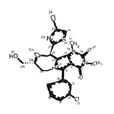 Cn1c(=O)c2c(-c3cccc(Cl)c3)n3c(c2n(C)c1=O)[C@H](c1nc(Cl)cs1)O[C@@H](CO)C3